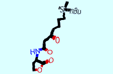 CCCC[Si](C)(C)CCCCC(=O)CC(=O)NC1CCOC1=O